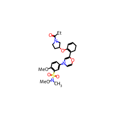 CCC(=O)N1CC[C@H](OC2=C(C3=CN(c4ccc(OC)c(S(=O)(=O)N(C)OC)c4)C=CO3)CCC=C2)C1